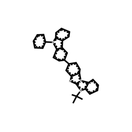 CC(C)(C)n1c2ccccc2n2c3ccc(-c4ccc5c(c4)c4ccccc4n5-c4ccccc4)cc3nc12